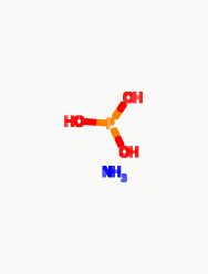 N.OP(O)O